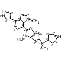 CN(c1nc2sc(-c3ncc(-c4cn[nH]c4)c4ccn(C)c34)nc2s1)C1CCNCC1.Cl